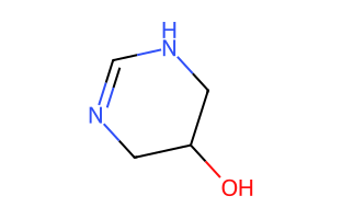 OC1CN=CNC1